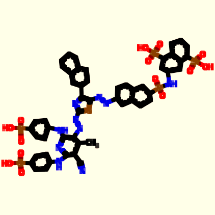 Cc1c(C#N)c(Nc2ccc(S(=O)(=O)O)cc2)nc(Nc2ccc(S(=O)(=O)O)cc2)c1/N=N/c1nc(-c2ccc3ccccc3c2)c(/N=N/c2ccc3cc(S(=O)(=O)Nc4cc(S(=O)(=O)O)c5cccc(S(=O)(=O)O)c5c4)ccc3c2)s1